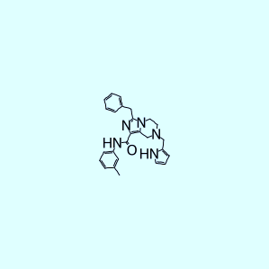 Cc1cccc(NC(=O)c2nc(Cc3ccccc3)n3c2CN(Cc2ccc[nH]2)CC3)c1